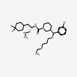 CCOCCCOC(c1cccc(Cl)c1)[C@@H]1CCCN(C(=O)N[C@H](CNC)CC2CCC(F)(F)CC2)C1